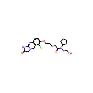 O=C1CN2Cc3c(ccc(OCCCCC(=O)N(CCO)C4CCCC4)c3Cl)N=C2N1